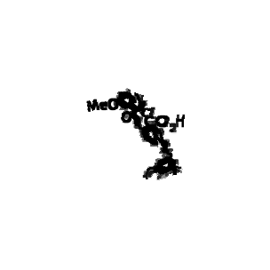 COc1ccc2ncc(Cl)c(C(=O)CC[C@H]3CCN(CCSc4cc(F)cc(F)c4)C[C@H]3C(=O)O)c2c1